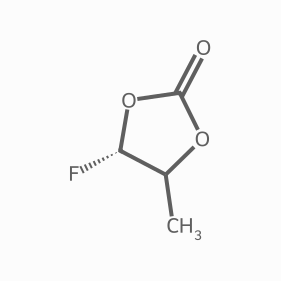 CC1OC(=O)O[C@H]1F